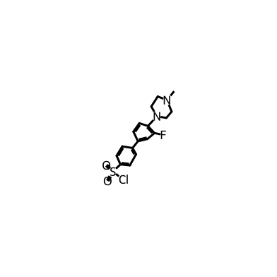 CN1CCN(c2ccc(-c3ccc(S(=O)(=O)Cl)cc3)cc2F)CC1